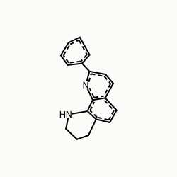 c1ccc(-c2ccc3ccc4c(c3n2)NCCC4)cc1